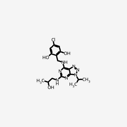 CC(O)CNc1nc(NCc2c(O)cc(Cl)cc2O)c2nnn(C(C)C)c2n1